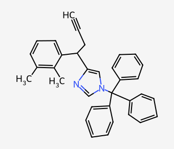 C#CCC(c1cn(C(c2ccccc2)(c2ccccc2)c2ccccc2)cn1)c1cccc(C)c1C